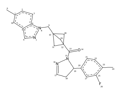 Cc1ccc2c(cnn2CC23CC(C(=O)N4N=CCC4c4ccc(C)c(F)c4)(C2)C3)c1